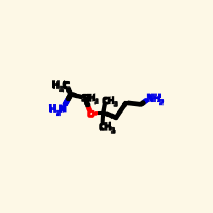 CC(N)[SiH2]OC(C)(C)CCCN